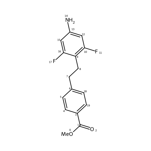 COC(=O)c1ccc(CCc2c(F)cc(N)cc2F)cc1